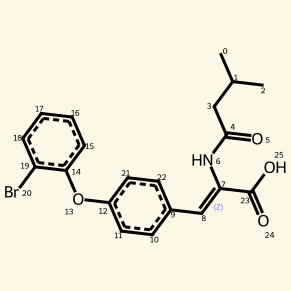 CC(C)CC(=O)N/C(=C\c1ccc(Oc2ccccc2Br)cc1)C(=O)O